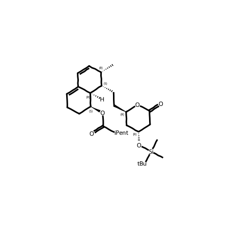 CCCC(C)C(=O)O[C@H]1CCC=C2C=C[C@H](C)[C@H](CC[C@@H]3C[C@@H](O[Si](C)(C)C(C)(C)C)CC(=O)O3)[C@H]21